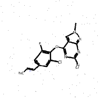 Cn1cc2c(Oc3c(F)cc(/C=C/C#N)cc3Cl)nc(Cl)nc2n1